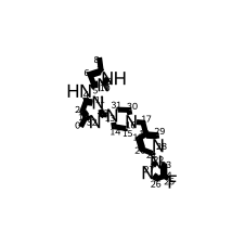 Cc1cc(Nc2cc(C)[nH]n2)nc(N2CCN(Cc3ccc(-n4cc(F)cn4)nc3)CC2)n1